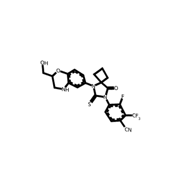 N#Cc1ccc(N2C(=O)C3(CCC3)N(c3ccc4c(c3)NCC(CO)O4)C2=S)c(F)c1C(F)(F)F